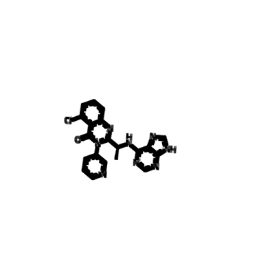 C[C@H](Nc1ncnc2[nH]cnc12)c1nc2cccc(Cl)c2c(=O)n1-c1cccnc1